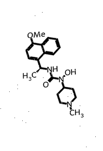 COc1ccc([C@H](C)NC(=O)N(O)C2CCN(C)CC2)c2ccccc12